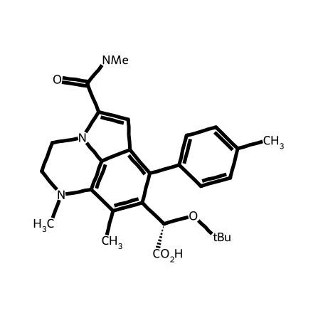 CNC(=O)c1cc2c(-c3ccc(C)cc3)c([C@H](OC(C)(C)C)C(=O)O)c(C)c3c2n1CCN3C